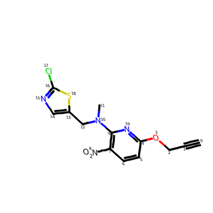 C#CCOc1ccc([N+](=O)[O-])c(N(C)Cc2cnc(Cl)s2)n1